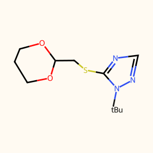 CC(C)(C)n1ncnc1SCC1OCCCO1